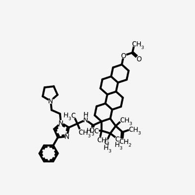 C=C(C)C1(C)C2C3CCC4C5CCC(OC(C)=O)CC5CCC4C3CCC2(C(=O)NC(C)(C)c2nc(-c3ccccc3)cn2CCN2CCCC2)C(C)(C)C1(C)C